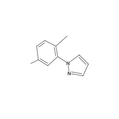 Cc1ccc(C)c(-n2cccn2)c1